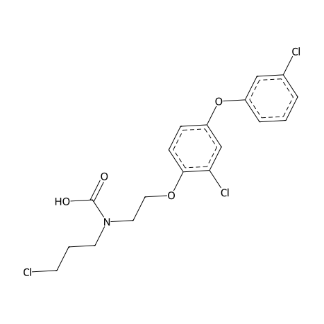 O=C(O)N(CCCCl)CCOc1ccc(Oc2cccc(Cl)c2)cc1Cl